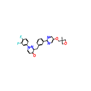 CC1(COc2cnc(-c3cccc(Cc4nn(-c5ccc(F)c(F)c5)ccc4=O)c3)nc2)COC1